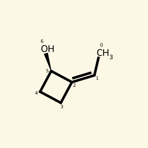 C/C=C1/CC[C@H]1O